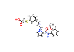 COc1ccccc1NC(=O)c1cccn1C/C=C/c1cccc(SCC(=O)O)c1